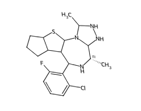 CC1NNC2[C@H](C)NC(c3c(F)cccc3Cl)C3C4CCCC4SC3N12